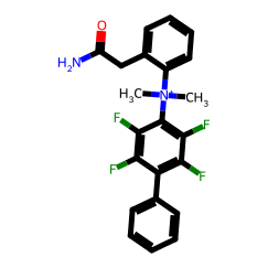 C[N+](C)(c1ccccc1CC(N)=O)c1c(F)c(F)c(-c2ccccc2)c(F)c1F